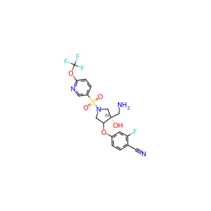 N#Cc1ccc(OC2CN(S(=O)(=O)c3ccc(OC(F)(F)F)nc3)C[C@@]2(O)CN)cc1F